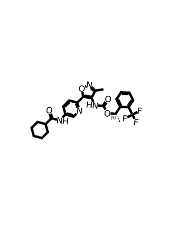 Cc1noc(-c2ccc(NC(=O)C3CCCCC3)cn2)c1NC(=O)O[C@@H](C)c1ccccc1C(F)(F)F